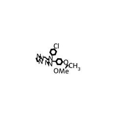 COC[C@@H](C)Oc1ccc(-c2nnc(Cn3nccn3)n2-c2ccc(Cl)cc2)cc1